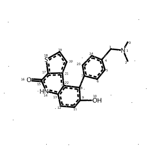 CN(C)Cc1ccc(-c2c(O)ccc3[nH]c(=O)c4sccc4c23)cc1